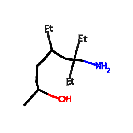 CCC(CC(C)O)C(N)(CC)CC